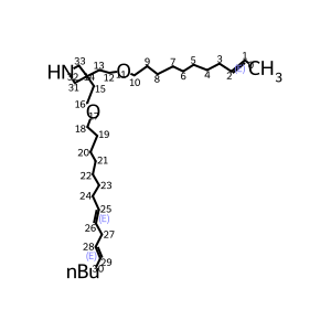 C/C=C/CCCCCCCCOCCC1(CCOCCCCCCC/C=C/C/C=C/CCCC)CNC1